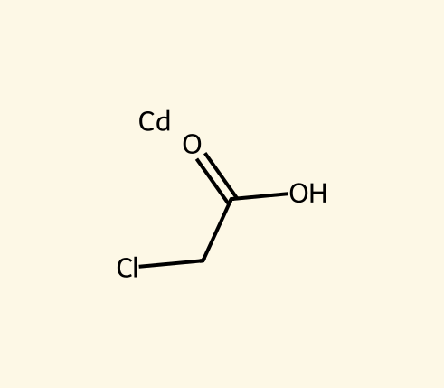 O=C(O)CCl.[Cd]